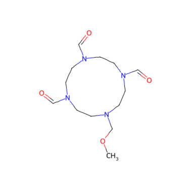 COCN1CCN(C=O)CCN(C=O)CCN(C=O)CC1